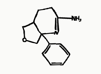 NC1=NC2(c3ccccc3)COCC2CC1